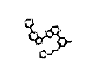 Fc1cc(OCCN2CCCC2)cc(-c2nccc3[nH]c(-c4n[nH]c5ccc(-c6cncnc6)nc45)cc23)c1